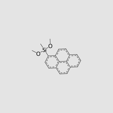 CO[Si](C)(OC)c1ccc2ccc3cccc4ccc1c2c34